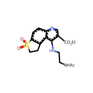 CCOC(=O)c1cnc2ccc3c(c2c1NCCNC(C)=O)CCS3(=O)=O